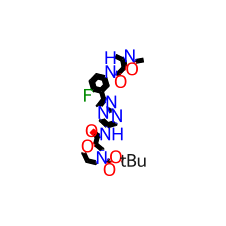 Cc1nc(C)c(C(=O)Nc2ccc(F)c(-c3cn4cc(NC(=O)C5CN(C(=O)OC(C)(C)C)CCCO5)cnc4n3)c2)o1